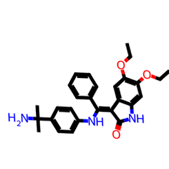 CCOc1cc2c(cc1OCC)/C(=C(/Nc1ccc(C(C)(C)N)cc1)c1ccccc1)C(=O)N2